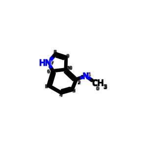 C[N]c1cccc2[nH]ccc12